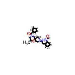 CC1CN(C(=O)c2ccccc2)CC2(CCN(CCc3ccccc3NC=O)CC2)O1